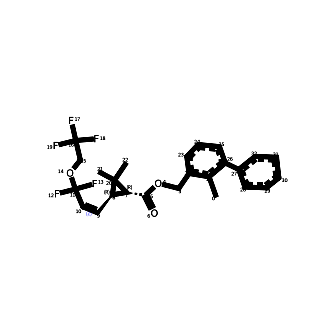 Cc1c(COC(=O)[C@@H]2[C@@H](/C=C\C(F)(F)OCC(F)(F)F)C2(C)C)cccc1-c1ccccc1